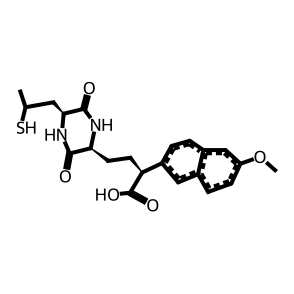 COc1ccc2cc([C@H](CC[C@@H]3NC(=O)[C@H](CC(C)S)NC3=O)C(=O)O)ccc2c1